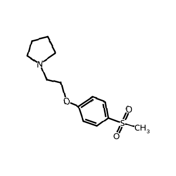 CS(=O)(=O)c1ccc(OCCN2CCCC2)cc1